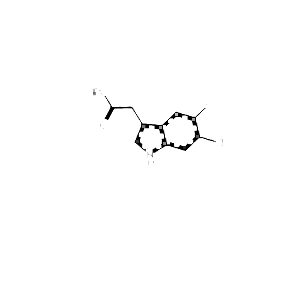 CC(C)C(=O)Cc1c[nH]c2cc(Cl)c(Cl)cc12